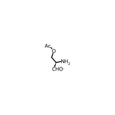 CC(=O)OC[C@@H](N)[C]=O